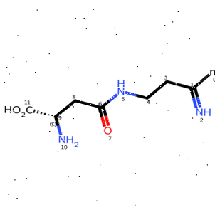 CCCC(=N)CCNC(=O)C[C@H](N)C(=O)O